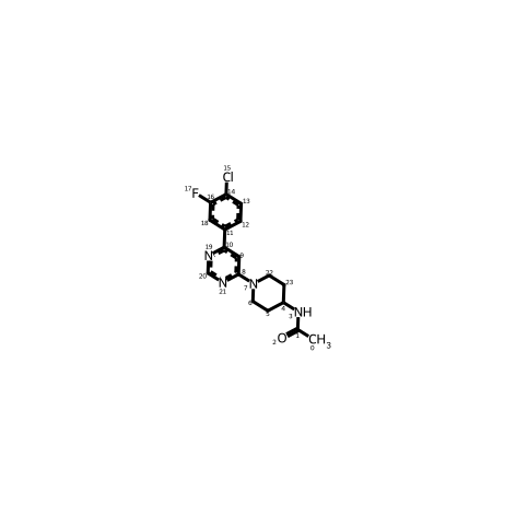 CC(=O)NC1CCN(c2cc(-c3ccc(Cl)c(F)c3)ncn2)CC1